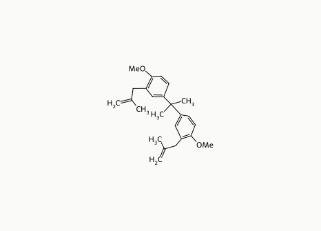 C=C(C)Cc1cc(C(C)(C)c2ccc(OC)c(CC(=C)C)c2)ccc1OC